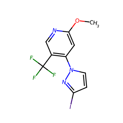 COc1cc(-n2ccc(I)n2)c(C(F)(F)F)cn1